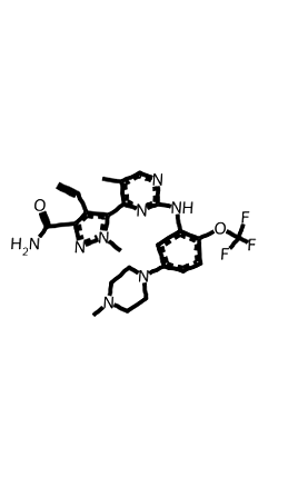 C=Cc1c(C(N)=O)nn(C)c1-c1nc(Nc2cc(N3CCN(C)CC3)ccc2OC(F)(F)F)ncc1C